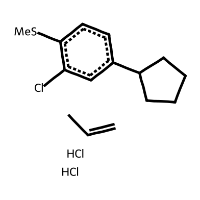 C=CC.CSc1ccc(C2CCCC2)cc1Cl.Cl.Cl